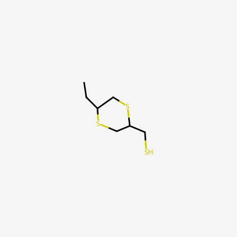 CCC1CSC(CS)CS1